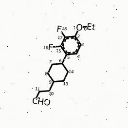 CCOc1ccc(C2CCC(CCC=O)CC2)c(F)c1F